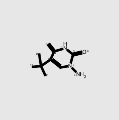 C=C1NC(=O)N(N)C=C1C(C)(C)C